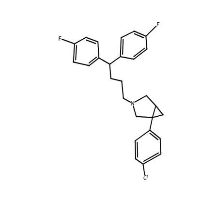 Fc1ccc(C(CCCN2CC3CC3(c3ccc(Cl)cc3)C2)c2ccc(F)cc2)cc1